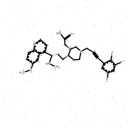 CN[C@@H](CC[C@@H]1CCN(CC#Cc2cc(F)cc(F)c2F)C[C@@H]1CC(=O)O)c1ccnc2ccc(OC)cc12